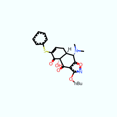 CCCCOc1noc2c1C(=O)[C@@]1(O)C(=O)C(Sc3ccccc3)=CC[C@H]1[C@@H]2N(C)C